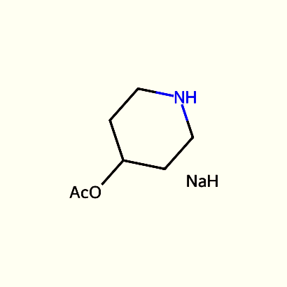 CC(=O)OC1CCNCC1.[NaH]